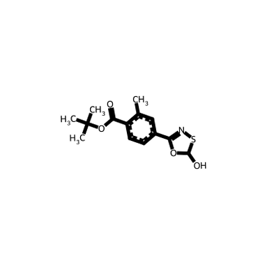 Cc1cc(C2=NSC(O)O2)ccc1C(=O)OC(C)(C)C